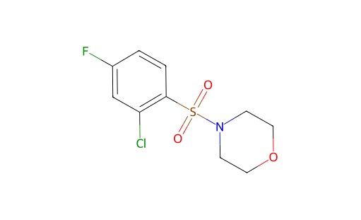 O=S(=O)(c1ccc(F)cc1Cl)N1CCOCC1